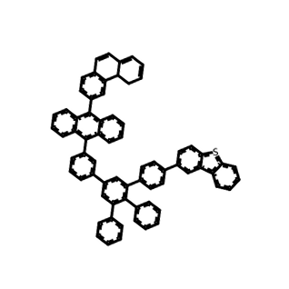 C1=CCC2C(=C1)C=Cc1ccc(-c3c4ccccc4c(-c4cccc(-c5cc(-c6ccccc6)c(-c6ccccc6)c(-c6ccc(-c7ccc8sc9ccccc9c8c7)cc6)c5)c4)c4ccccc34)cc12